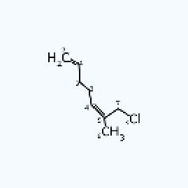 C=CCCC=C(C)CCl